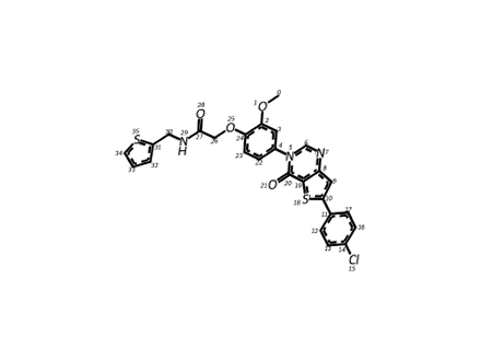 COc1cc(-n2cnc3cc(-c4ccc(Cl)cc4)sc3c2=O)ccc1OCC(=O)NCc1cccs1